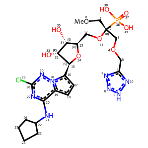 COC[C@@](COCc1nn[nH]n1)(OC[C@H]1O[C@@H](c2ccc3c(NC4CCCC4)nc(Cl)nn23)[C@H](O)[C@@H]1O)P(=O)(O)O